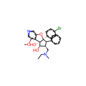 CCN(C)C[C@@H]1C(c2ccccc2)[C@]2(c3ccc(Br)cc3)Oc3cncc(OC)c3[C@]2(O)[C@@H]1O